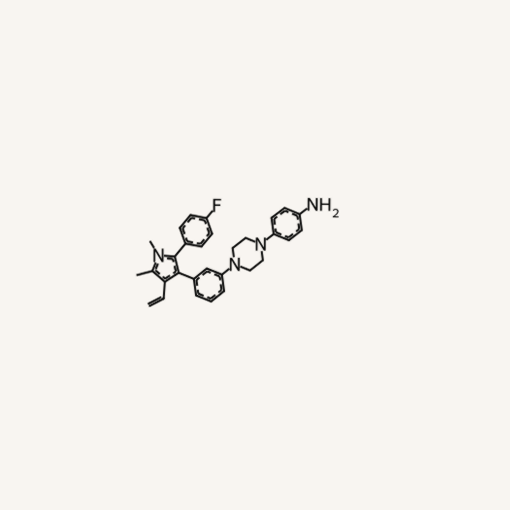 C=Cc1c(-c2cccc(N3CCN(c4ccc(N)cc4)CC3)c2)c(-c2ccc(F)cc2)n(C)c1C